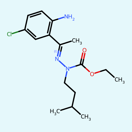 CCOC(=O)N(CCC(C)C)/N=C(\C)c1cc(Cl)ccc1N